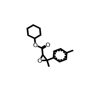 Cc1ccc(C2(C)OC2C(=O)OC2CCCCC2)cc1